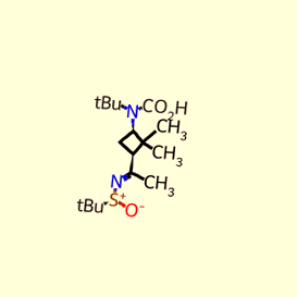 C/C(=N\[S@@+]([O-])C(C)(C)C)[C@H]1C[C@@H](N(C(=O)O)C(C)(C)C)C1(C)C